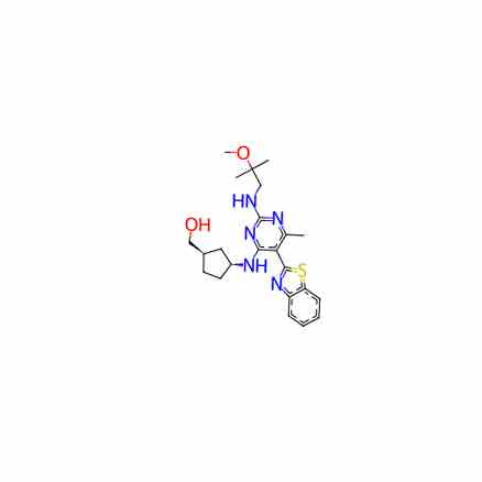 COC(C)(C)CNc1nc(C)c(-c2nc3ccccc3s2)c(N[C@H]2CC[C@@H](CO)C2)n1